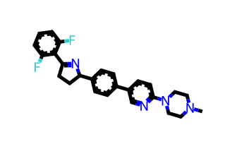 CN1CCN(c2ccc(-c3ccc(C4CCC(c5c(F)cccc5F)=N4)cc3)cn2)CC1